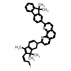 CC1=C(/C=C\CI)C(C)(C)C2=C1C=CC(c1ccc3ccc4ccc(-c5ccc6c(c5)C(C)(C)c5ccccc5-6)nc4c3n1)C2